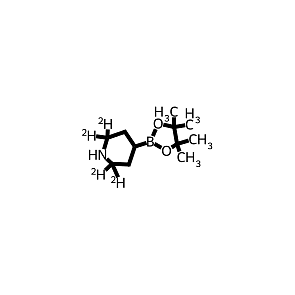 [2H]C1([2H])CC(B2OC(C)(C)C(C)(C)O2)CC([2H])([2H])N1